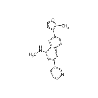 CNc1nc(-c2cccnc2)nc2ccc(-c3ccoc3C)cc12